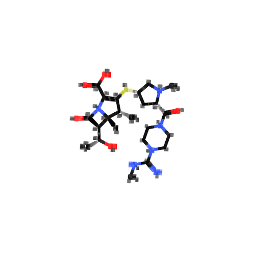 CNC(=N)N1CCN(C(=O)[C@@H]2C[C@H](SC3=C(C(=O)O)N4C(=O)[C@H]([C@@H](C)O)[C@H]4[C@H]3C)CN2C)CC1